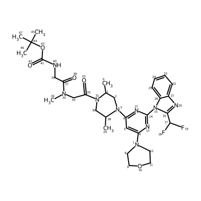 CC1CN(c2cc(N3CCOCC3)nc(-n3c(C(F)F)nc4ccccc43)n2)C(C)CN1C(=O)CN(C)C(=O)CNC(=O)OC(C)(C)C